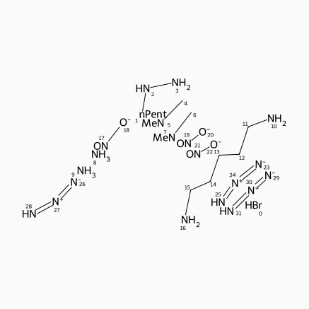 Br.CCCCCNN.CNC.CNC.N.N.NCCCCCN.O=[NH+][O-].O=[NH+][O-].O=[NH+][O-].[N-]=[N+]=N.[N-]=[N+]=N.[N-]=[N+]=N